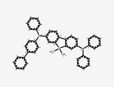 C[Si]1(C)c2cc(N(c3ccccc3)c3ccccc3)ccc2-c2ccc(N(c3ccccc3)c3ccc(-c4ccccc4)cc3)cc21